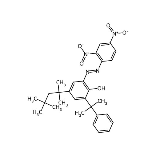 CC(C)(C)CC(C)(C)c1cc(N=Nc2ccc([N+](=O)[O-])cc2[N+](=O)[O-])c(O)c(C(C)(C)c2ccccc2)c1